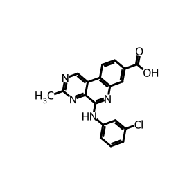 Cc1ncc2c(n1)c(Nc1cccc(Cl)c1)nc1cc(C(=O)O)ccc12